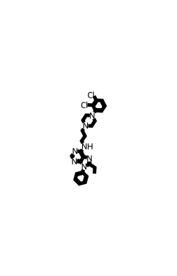 CCc1nc2c(NCCCN3CCN(c4cccc(Cl)c4Cl)CC3)ncnc2n1-c1ccccc1